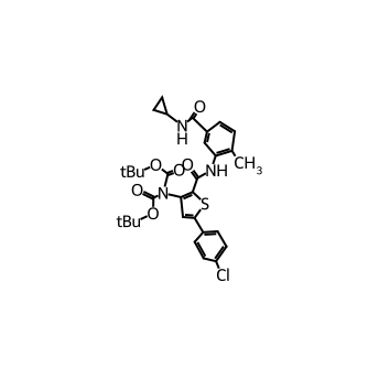 Cc1ccc(C(=O)NC2CC2)cc1NC(=O)c1sc(-c2ccc(Cl)cc2)cc1N(C(=O)OC(C)(C)C)C(=O)OC(C)(C)C